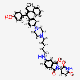 CC/C(=C(\c1ccc(O)cc1)c1ccc(N2CCN(CCCCCNc3ccc4c(c3)C(=O)N(C3CCC(=O)NC3=O)C4=O)CC2)cc1)c1ccccc1